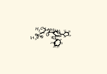 CCC(/C=C/S(C)(=O)=O)NC(=O)c1cnc(C2CCCC2)nc1Oc1ccccc1